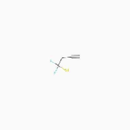 C#CCC(F)(F)S